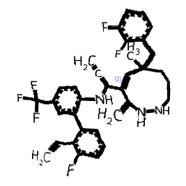 C=C=C(Nc1ccc(C(F)(F)F)cc1-c1cccc(F)c1C=C)/C1=C/C(C)(Cc2cccc(F)c2F)CCCNNC1=C